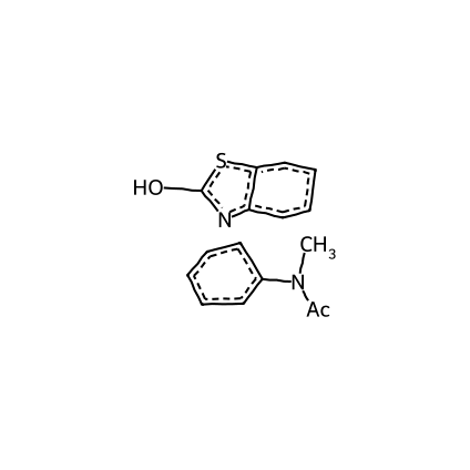 CC(=O)N(C)c1ccccc1.Oc1nc2ccccc2s1